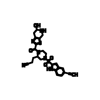 C#Cc1ccc2[nH]c(S(=O)(=O)N3CCN(C(=O)c4nc5c(s4)CNC(O)C5)C(CCC#N)C3)cc2c1